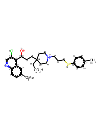 COc1ccc2ncc(Cl)c([C@@H](O)CCC3(CC(=O)O)CCN(CCCSc4ccc(C)cc4)CC3)c2c1